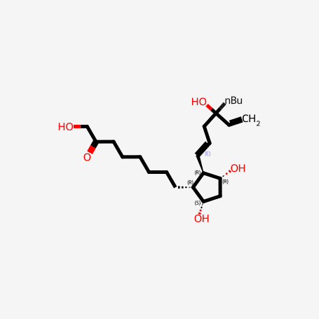 C=CC(O)(C/C=C/[C@@H]1[C@@H](CCCCCCC(=O)CO)[C@@H](O)C[C@H]1O)CCCC